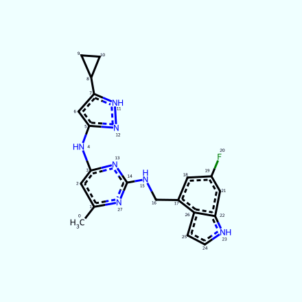 Cc1cc(Nc2cc(C3CC3)[nH]n2)nc(NCc2cc(F)cc3[nH]ccc23)n1